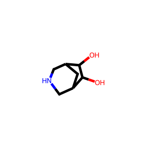 OC1C2CNCC(C2)C1O